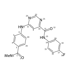 CNC(=O)c1ccc(Nc2cc(C(=O)Nc3ccc(F)cc3)ncn2)cc1